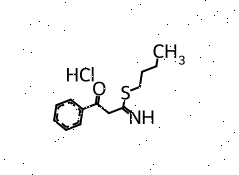 CCCCSC(=N)CC(=O)c1ccccc1.Cl